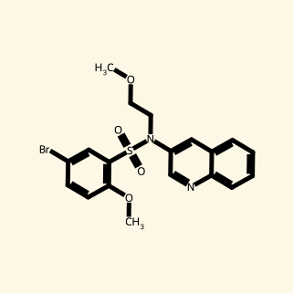 COCCN(c1cnc2ccccc2c1)S(=O)(=O)c1cc(Br)ccc1OC